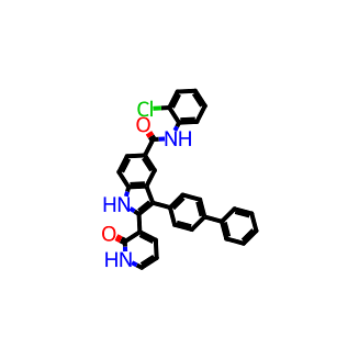 O=C(Nc1ccccc1Cl)c1ccc2[nH]c(-c3ccc[nH]c3=O)c(-c3ccc(-c4ccccc4)cc3)c2c1